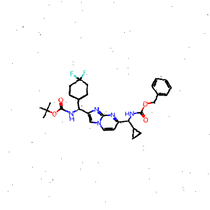 CC(C)(C)OC(=O)N[C@H](c1cn2ccc(C(NC(=O)OCc3ccccc3)C3CC3)nc2n1)C1CCC(F)(F)CC1